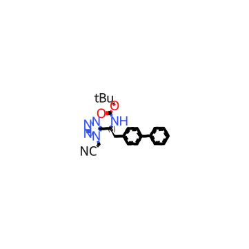 CC(C)(C)OC(=O)N[C@@H](Cc1ccc(-c2ccccc2)cc1)c1nnnn1CC#N